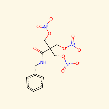 O=C(NCc1ccccc1)C(CO[N+](=O)[O-])(CO[N+](=O)[O-])CO[N+](=O)[O-]